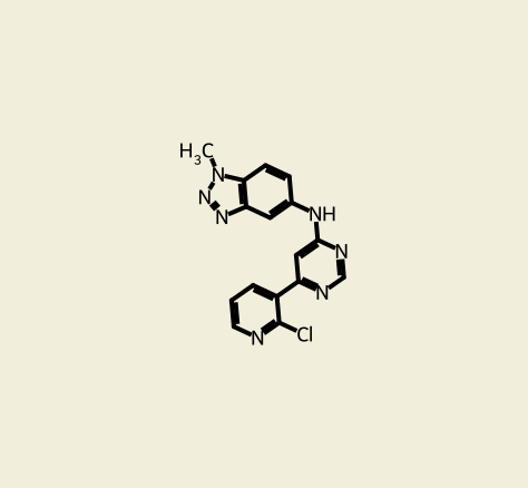 Cn1nnc2cc(Nc3cc(-c4cccnc4Cl)ncn3)ccc21